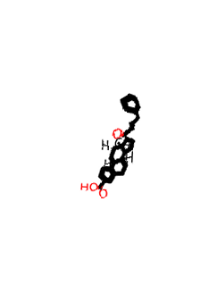 C[C@]12CC[C@@H]3c4ccc(C(=O)O)cc4CC[C@H]3[C@@H]1CC[C@@H]2C(=O)CCCc1ccccc1